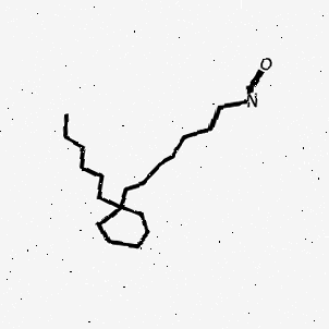 CCCCCCC1(CCCCCCCN=C=O)CCCCC1